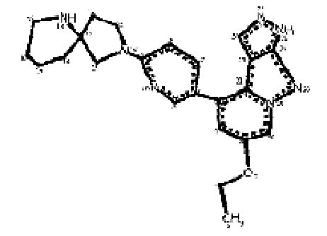 CCOc1cc(-c2ccc(N3CCC4(CCCCN4)C3)nc2)c2c3cn[nH]c3nn2c1